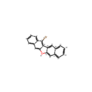 Brc1c2ccccc2cc2oc3cc4ccccc4cc3c12